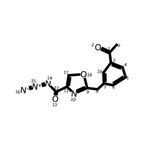 CC(=O)c1cccc(Cc2nc(C(=O)N=[N+]=[N-])co2)c1